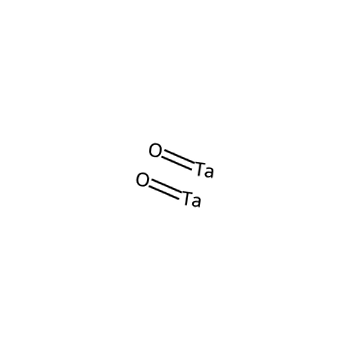 [O]=[Ta].[O]=[Ta]